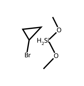 BrC1CC1.CO[SiH2]OC